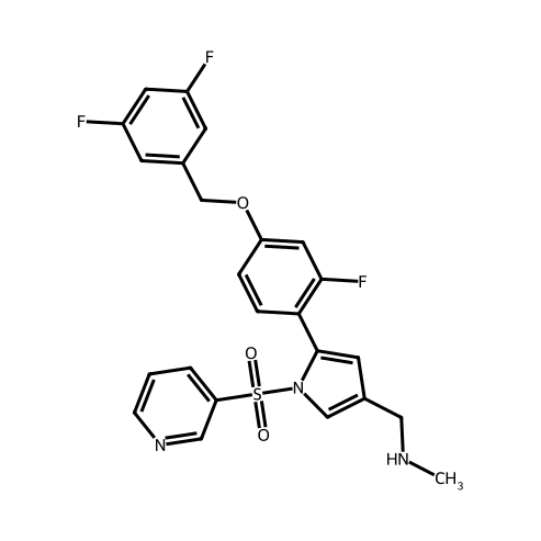 CNCc1cc(-c2ccc(OCc3cc(F)cc(F)c3)cc2F)n(S(=O)(=O)c2cccnc2)c1